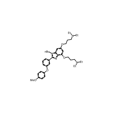 CCCCn1c(-c2cccc(Oc3ccc(OC)cc3)c2)nc2c(OCCCN(CC)CC)cc(OCCCN(CC)CC)cc21